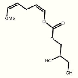 CO/C=C\C/C=C\OC(=O)OCC(O)CO